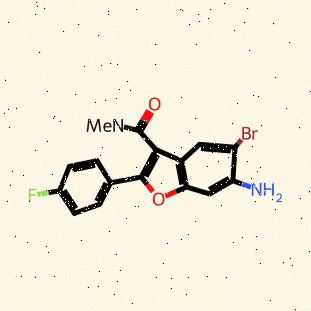 CNC(=O)c1c(-c2ccc(F)cc2)oc2cc(N)c(Br)cc12